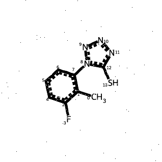 Cc1c(F)cccc1-n1nnnc1S